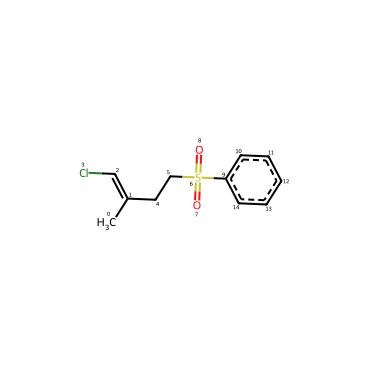 CC(=CCl)CCS(=O)(=O)c1ccccc1